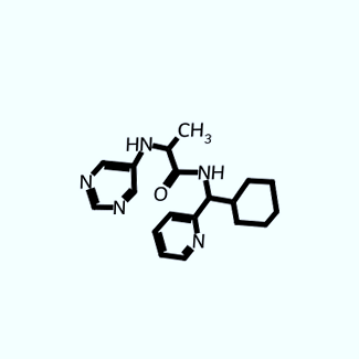 CC(Nc1cncnc1)C(=O)NC(c1ccccn1)C1CCCCC1